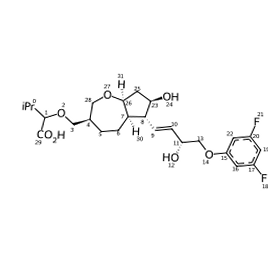 CC(C)C(OC[C@@H]1CC[C@@H]2[C@@H](/C=C/[C@@H](O)COc3cc(F)cc(F)c3)[C@H](O)C[C@@H]2OC1)C(=O)O